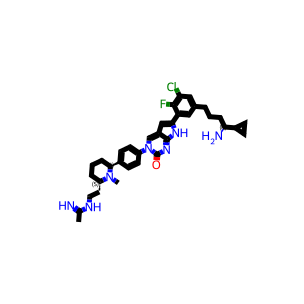 CC(=N)NCC[C@@H]1CCC[C@@H](c2ccc(-n3cc4cc(-c5cc(CCC[C@@H](N)C6CC6)cc(Cl)c5F)[nH]c4nc3=O)cc2)N1C